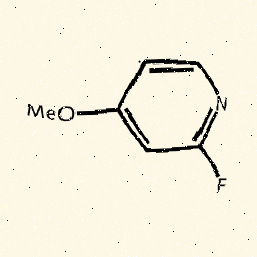 COc1[c]cnc(F)c1